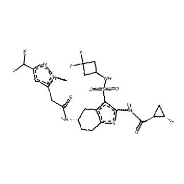 Cn1nc(C(F)F)cc1CC(=S)N[C@H]1CCc2sc(NC(=O)[C@H]3C[C@@H]3F)c(S(=O)(=O)NC3CC(F)(F)C3)c2C1